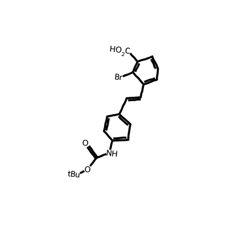 CC(C)(C)OC(=O)Nc1ccc(/C=C/c2cccc(C(=O)O)c2Br)cc1